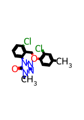 Cc1ccc(OCc2c(Cl)cccc2-n2nnn(C)c2=O)c(Cl)c1